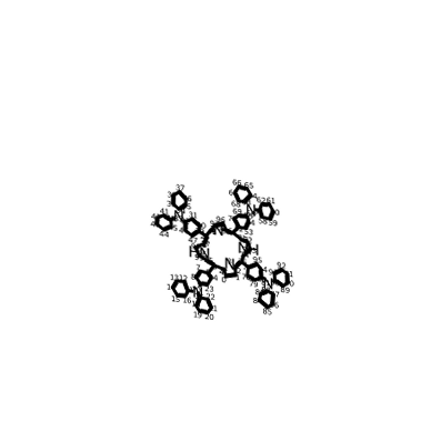 C1=Cc2nc1c(-c1ccc(N(c3ccccc3)c3ccccc3)cc1)c1[nH]c(c(-c3ccc(N(c4ccccc4)c4ccccc4)cc3)c3nc(c(-c4ccc(N(c5ccccc5)c5ccccc5)cc4)c4ccc([nH]4)c2-c2ccc(N(c4ccccc4)c4ccccc4)cc2)C=C3)CC1